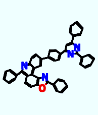 c1ccc(-c2cc(-c3ccc(-c4ccc5nc(-c6ccccc6)c6ccc7oc(-c8ccccc8)nc7c6c5c4)cc3)nc(-c3ccccc3)n2)cc1